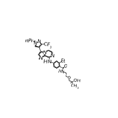 CCCn1cc(-c2cnc3c(Nc4ccc(C(=O)NCCOC[C@@H](C)O)c(CC)c4)nccn23)c(C(F)(F)F)n1